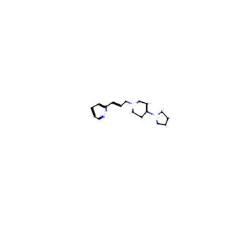 C(=C\c1ccccn1)/CN1CCC(N2CCCC2)CC1